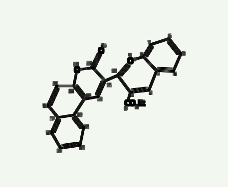 CCOC(=O)c1cc2ccccc2[o+]c1-c1cc2c(ccc3ccccc32)oc1=O